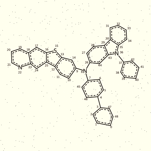 c1ccc(-c2ccc(N(c3ccc4c(c3)sc3cc5cccnc5cc34)c3ccc4c5ccccc5n(-c5ccccc5)c4c3)cc2)cc1